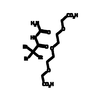 CCC(Br)(CC)C(=O)NC(N)=O.O=C(O)COCCOCCOCC(=O)O